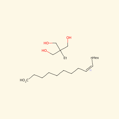 CCC(CO)(CO)CO.CCCCCC/C=C\CCCCCCCC(=O)O